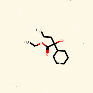 CCCC(O)(C(=O)OCC)C1CCCCC1